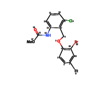 CCc1ccc(OCc2c(Cl)cccc2NC(=O)OC)c(Br)c1